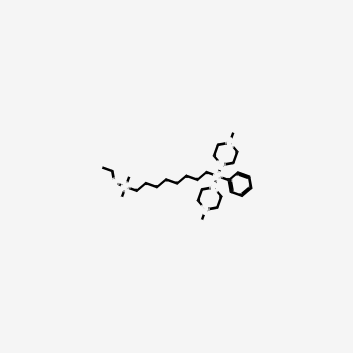 CCO[Si](C)(C)CCCCCCCC[Si](c1ccccc1)(N1CCN(C)CC1)N1CCN(C)CC1